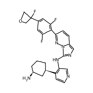 N[C@H]1CCC[C@@H](c2ccncc2Nc2ncc3ccc(-c4c(F)cc(C5(F)COC5)cc4F)nn23)C1